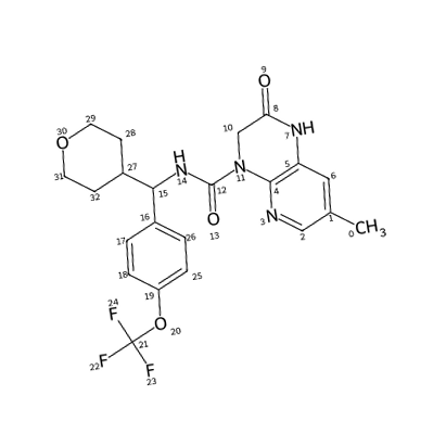 Cc1cnc2c(c1)NC(=O)CN2C(=O)NC(c1ccc(OC(F)(F)F)cc1)C1CCOCC1